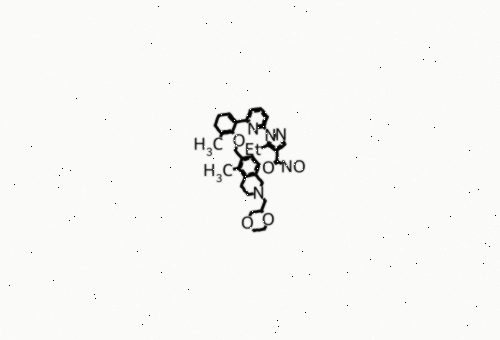 CCc1c(C(=O)N=O)cnn1-c1cccc(C2=CCCC(C)=C2OCc2ccc3c(c2C)CCN(CC2COCCO2)C3)n1